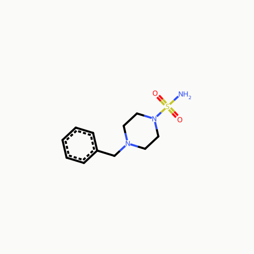 NS(=O)(=O)N1CCN(Cc2ccccc2)CC1